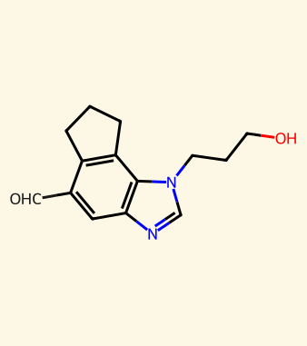 O=Cc1cc2ncn(CCCO)c2c2c1CCC2